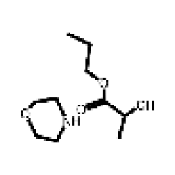 C1COCCN1.CCCOC(=O)C(C)O